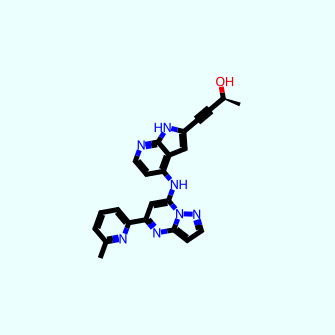 Cc1cccc(-c2cc(Nc3ccnc4[nH]c(C#C[C@H](C)O)cc34)n3nccc3n2)n1